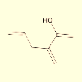 C=CCC(=C)C(=C)O